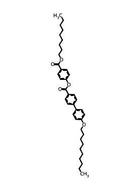 CCCCCCCCCCOc1ccc(-c2ccc(C(=O)Oc3ccc(C(=O)OCCCCCCCCC)cc3)cc2)cc1